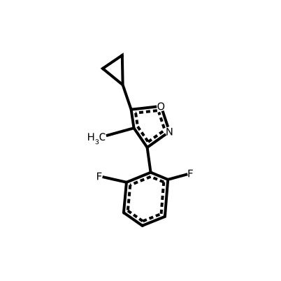 Cc1c(-c2c(F)cccc2F)noc1C1CC1